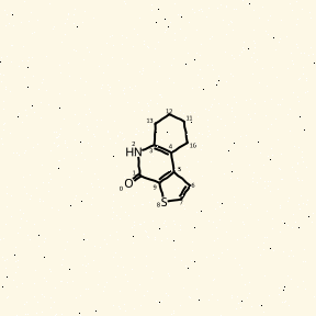 O=c1[nH]c2c(c3ccsc13)CCCC2